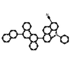 N#Cc1ccc2c3c1ccc1c(-c4cc5c6ccccc6c(-c6ccc7ccccc7c6)cc5c5ccccc45)ccc(c13)n2-c1ccccc1